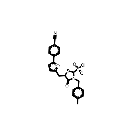 Cc1ccc(CN2C(=O)C(Cc3ccc(-c4ccc(C#N)cc4)o3)SC2S(=O)(=O)O)cc1